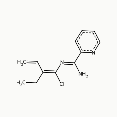 C=C/C(CC)=C(Cl)\N=C(/N)c1ccccn1